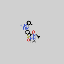 CCCC(=O)Nc1sc2c(c1C(=O)NCC1CC1)CC(NCc1c(C)cccc1N)CC2